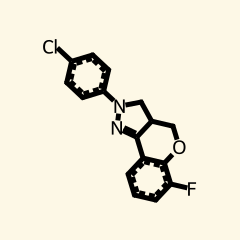 Fc1cccc2c1OCC1CN(c3ccc(Cl)cc3)N=C21